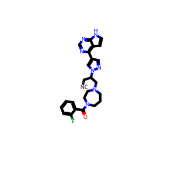 [C-]#[N+]CC(CN1CCCN(C(=O)c2ccccc2F)CC1)n1cc(-c2ncnc3[nH]ccc23)cn1